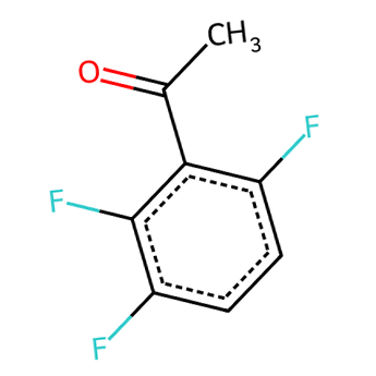 CC(=O)c1c(F)ccc(F)c1F